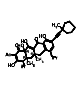 CC(=O)C1=C(O)C(C(C)C)[C@@]2(C)C[C@@]3(C)Cc4c(C(C)C)cc(C#CC5(C)CCCCC5)c(O)c4C(=O)C3=C(O)[C@@]2(O)C1=O